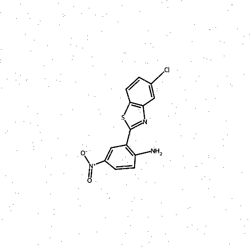 Nc1ccc([N+](=O)[O-])cc1-c1nc2cc(Cl)ccc2s1